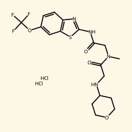 CN(CC(=O)Nc1nc2ccc(OC(F)(F)F)cc2s1)C(=O)CNC1CCOCC1.Cl.Cl